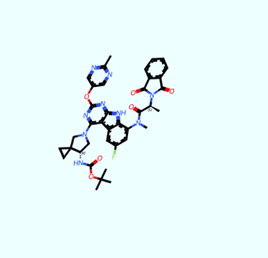 Cc1ncc(Oc2nc(N3C[C@H](NC(=O)OC(C)(C)C)C4(CC4)C3)c3c(n2)[nH]c2c(N(C)C(=O)[C@H](C)N4C(=O)c5ccccc5C4=O)cc(F)cc23)cn1